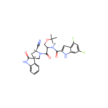 CN(C(=O)c1cc2c(F)cc(F)cc2[nH]1)C(COC(C)(C)C)C(=O)N1C[C@]2(C[C@H]1C#N)C(=O)Nc1ccccc12